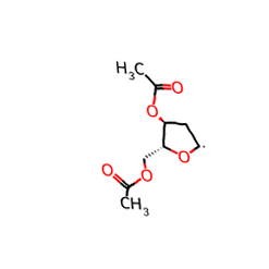 CC(=O)OC[C@H]1O[CH]C[C@@H]1OC(C)=O